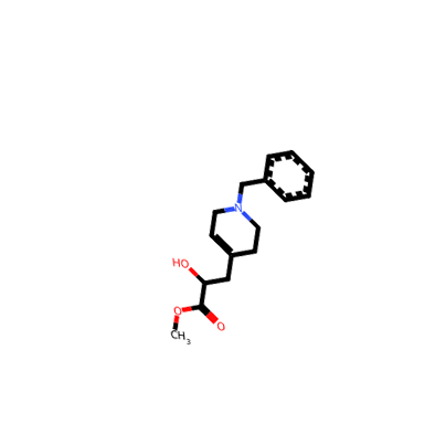 COC(=O)C(O)CC1=CCN(Cc2ccccc2)CC1